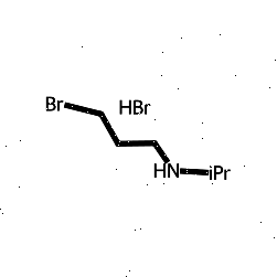 Br.CC(C)NCCCBr